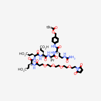 CC(C)[C@H](NC(=O)[C@H](CCC(=O)O)NC(=O)[C@H](CCC(=O)O)NC(=O)[C@H](CCC(=O)O)NC(=O)CCOCCOCCOCCOCCN1C(=O)C=CC1=O)C(=O)N[C@@H](CCCNC(N)=O)C(=O)Nc1ccc(COC(=O)C(C)(C)C)cc1